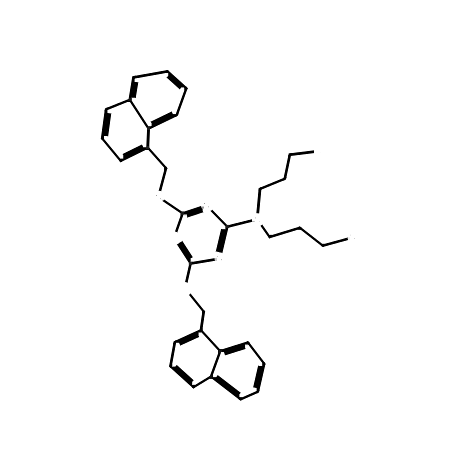 NCCCN(CCCN)c1nc(NCc2cccc3ccccc23)nc(NCc2cccc3ccccc23)n1